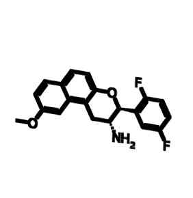 COc1ccc2ccc3c(c2c1)C[C@@H](N)[C@H](c1cc(F)ccc1F)O3